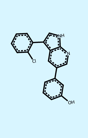 Oc1cccc(-c2cnc3[nH]cc(-c4ccccc4Cl)c3c2)c1